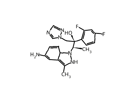 CC1=C2C=C(N)C=CC2N([C@H](C)[C@](O)(Cn2cncn2)c2ccc(F)cc2F)N1